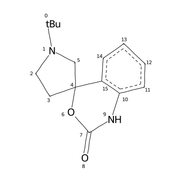 CC(C)(C)N1CCC2(C1)OC(=O)Nc1ccccc12